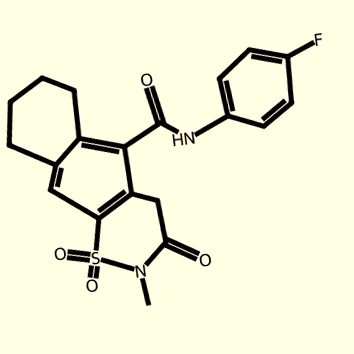 CN1C(=O)Cc2c(cc3c(c2C(=O)Nc2ccc(F)cc2)CCCC3)S1(=O)=O